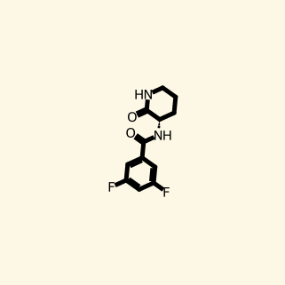 O=C(N[C@H]1CCCNC1=O)c1cc(F)cc(F)c1